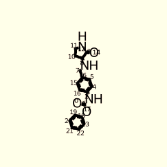 O=C(Nc1ccc(CNC2CCNC2=O)cc1)Oc1ccccc1